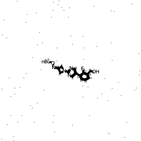 [CH2][CH]CCON=C1CN(c2ncc(-c3cccc(CO)c3F)cn2)C1